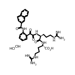 Cl.Cl.N=C(N)NCCC[C@H](NC(=O)[C@H](CCCNC(=N)N)NC(=O)C(=O)c1ccccc1NC(=O)c1ccc2ccccc2c1)C(=O)O